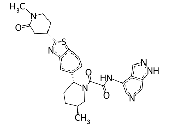 C[C@H]1CC[C@H](c2ccc3sc([C@H]4CCN(C)C(=O)C4)nc3c2)N(C(=O)C(=O)Nc2cncc3[nH]ncc23)C1